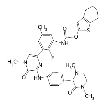 Cc1cc(NC(=O)Oc2cc3c(s2)CCCC3)c(F)c(-c2cn(C)c(=O)c(Nc3ccc(C4C(=O)N(C)CCN4C)cc3)n2)c1